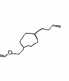 C=CCCC1CCC(COC=C)CC1